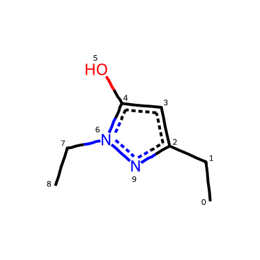 CCc1cc(O)n(CC)n1